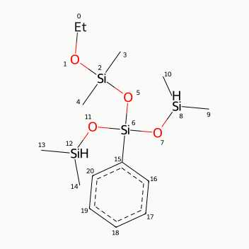 CCO[Si](C)(C)O[Si](O[SiH](C)C)(O[SiH](C)C)c1ccccc1